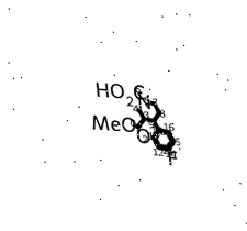 COC(=O)C1CN(C(=O)O)CCC1c1ccc(F)cc1